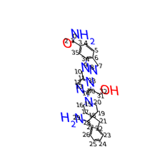 NC(=O)c1ccc2cnn(Cc3cnc(N4CCC5(CC4)Cc4ccccc4[C@H]5N)c(CO)n3)c2c1